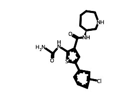 NC(=O)Nc1sc(-c2cccc(Cl)c2)cc1C(=O)N[C@H]1CCCCNC1